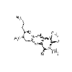 CN(Cc1nnc2c(n1)c(=O)n(C)c(=O)n2C)C(=O)CCN